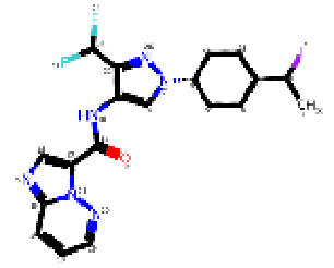 CC(I)[C@H]1CC[C@H](n2cc(NC(=O)c3cnc4cccnn34)c(C(F)F)n2)CC1